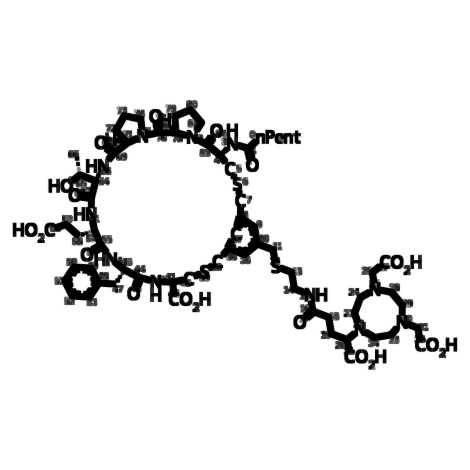 CCCCCC(=O)N[C@H]1CSCc2cc(CSCCNC(=O)CCC(C(=O)O)N3CCN(CC(=O)O)CCN(CC(=O)O)CC3)cc(c2)CSCC(C(=O)O)NC(=O)[C@H](Cc2ccccc2)NC(=O)[C@H](CCC(=O)O)NC(=O)[C@H]([C@@H](C)O)NC(=O)[C@@H]2CCCN2C(=O)[C@@H]2CCCN2C1=O